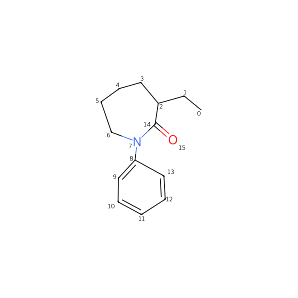 CCC1CCCCN(c2ccccc2)C1=O